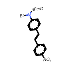 CCCCCN(CC)c1ccc(C=Cc2ccc([N+](=O)[O-])cc2)cc1